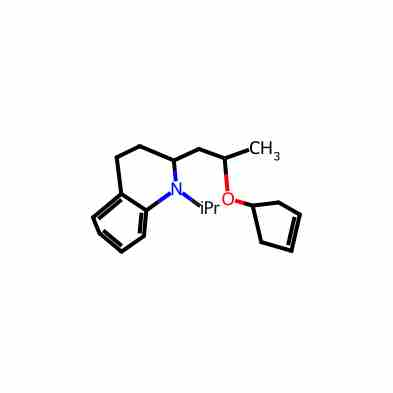 CC(CC1CCc2ccccc2N1C(C)C)OC1CC=CC1